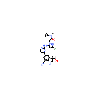 CN(C(=O)Cn1nc(Cl)cc1Nc1nccc(-c2cc(C#N)c3c(c2)[C@@](C)(CO)CN3)n1)C1CC1